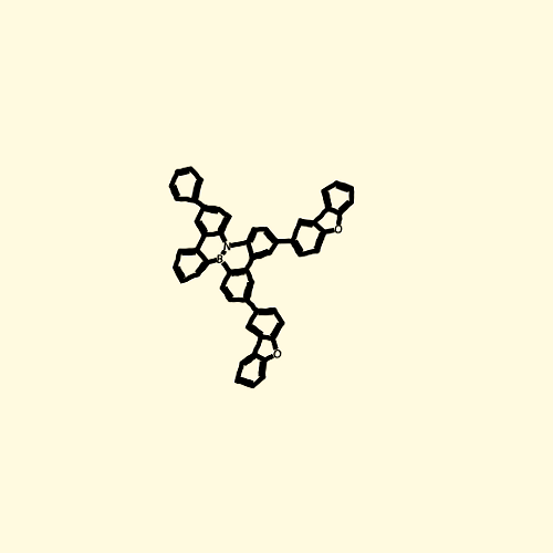 c1ccc(-c2ccc3c(c2)-c2ccccc2B2c4ccc(-c5ccc6oc7ccccc7c6c5)cc4-c4cc(-c5ccc6oc7ccccc7c6c5)ccc4N23)cc1